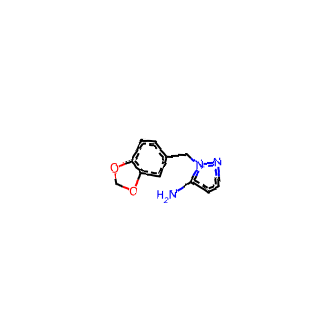 Nc1ccnn1Cc1ccc2c(c1)OCO2